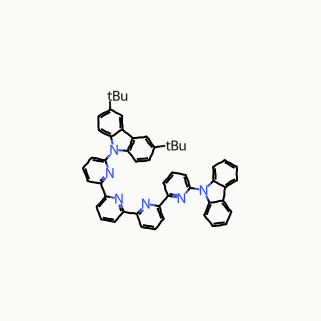 CC(C)(C)c1ccc2c(c1)c1cc(C(C)(C)C)ccc1n2-c1cccc(-c2cccc(-c3cccc(-c4cccc(-n5c6ccccc6c6ccccc65)n4)n3)n2)n1